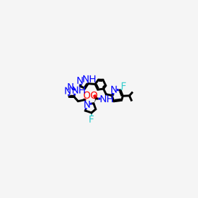 CC(C)c1ccc([C@@H](NC(=O)[C@@H]2C[C@@H](F)CN2C(=O)Cc2cnn[nH]2)c2cccc(-c3ccn[nH]3)c2)nc1F